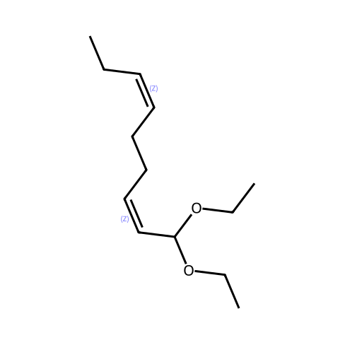 CC/C=C\CC/C=C\C(OCC)OCC